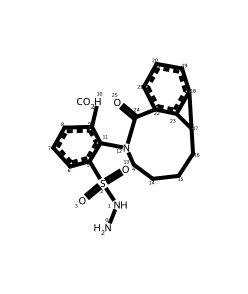 NNS(=O)(=O)c1cccc(C(=O)O)c1N1CCCCC2c3cccc(c32)C1=O